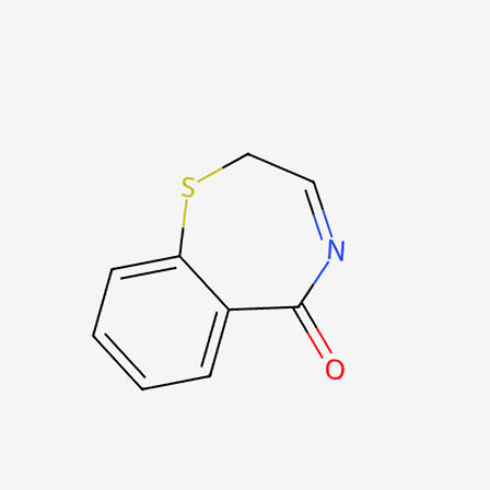 O=C1N=CCSc2ccccc21